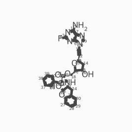 Nc1nc(F)nc2c1ncn2C#C[C@H]1C[C@H](O)[C@@H](COP(=O)(NC(Cc2ccccc2)C(=O)O)Oc2ccccc2)O1